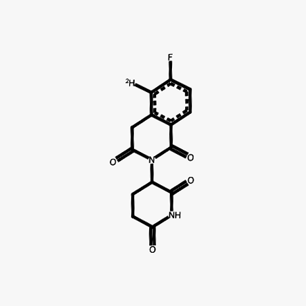 [2H]c1c(F)ccc2c1CC(=O)N(C1CCC(=O)NC1=O)C2=O